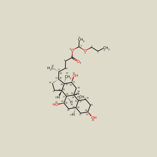 CCCOC(C)OC(=O)CC[C@@H](C)[C@H]1CC[C@H]2[C@@H]3[C@H](O)C[C@@H]4C[C@H](O)CC[C@]4(C)[C@H]3C[C@H](O)[C@]12C